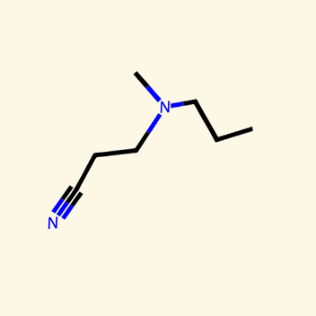 CCCN(C)CCC#N